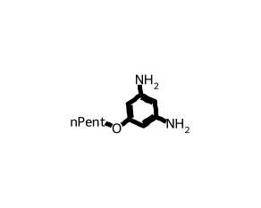 CCCCCOc1cc(N)cc(N)c1